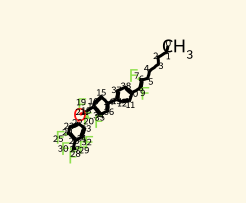 CCCCCC/C(F)=C(\F)c1ccc(-c2ccc(C(F)(F)Oc3cc(F)c(C(F)(F)F)c(F)c3)c(F)c2)cc1